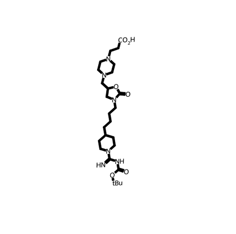 CC(C)(C)OC(=O)NC(=N)N1CCC(CCCCN2CC(CN3CCN(CCC(=O)O)CC3)OC2=O)CC1